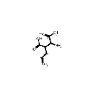 C=CCC(C(=O)O)C(N)C(=O)O